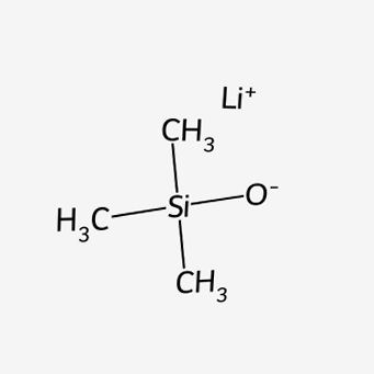 C[Si](C)(C)[O-].[Li+]